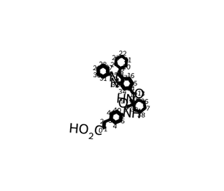 O=C(O)/C=C/c1ccc(NC(=O)C2(NC(=O)c3ccc4c(C5CCCCC5)n(-c5ccccc5)nc4c3)CCCCC2)cc1